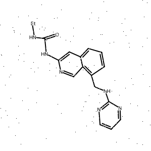 CCNC(=O)Nc1cc2cccc(CNc3ncccn3)c2cn1